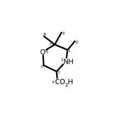 CC1NC(C(=O)O)COC1(C)C